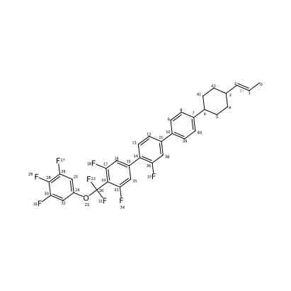 C/C=C/C1CCC(c2ccc(-c3ccc(-c4cc(F)c(C(F)(F)Oc5cc(F)c(F)c(F)c5)c(F)c4)c(F)c3)cc2)CC1